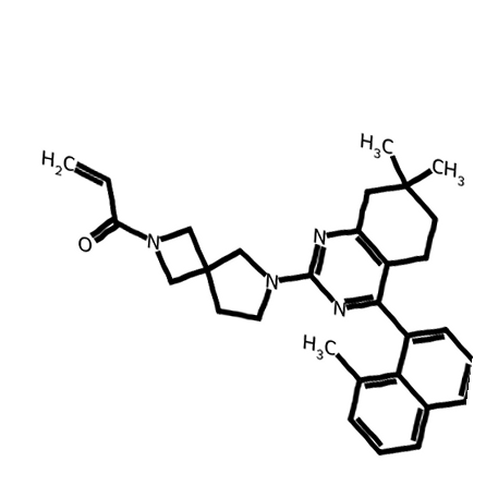 C=CC(=O)N1CC2(CCN(c3nc4c(c(-c5cccc6cccc(C)c56)n3)CCC(C)(C)C4)C2)C1